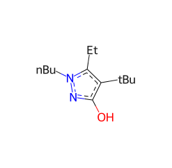 CCCCn1nc(O)c(C(C)(C)C)c1CC